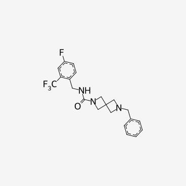 O=C(NCc1ccc(F)cc1C(F)(F)F)N1CC2(CN(Cc3ccccc3)C2)C1